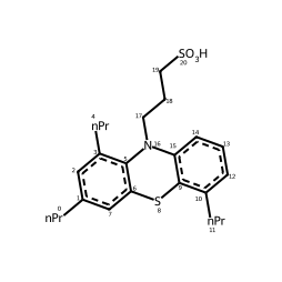 CCCc1cc(CCC)c2c(c1)Sc1c(CCC)cccc1N2CCCS(=O)(=O)O